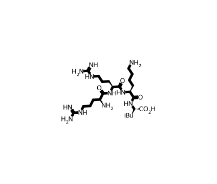 CC[C@H](C)[C@H](NC(=O)[C@H](CCCCN)NC(=O)[C@H](CCCNC(=N)N)NC(=O)[C@@H](N)CCCNC(=N)N)C(=O)O